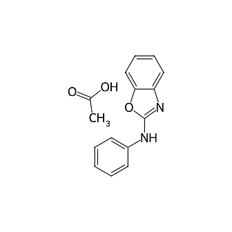 CC(=O)O.c1ccc(Nc2nc3ccccc3o2)cc1